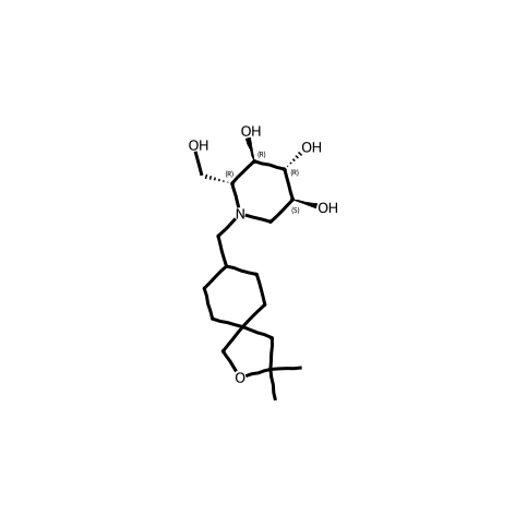 CC1(C)CC2(CCC(CN3C[C@H](O)[C@@H](O)[C@H](O)[C@H]3CO)CC2)CO1